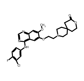 COc1cc2ncnc(Nc3ccc(F)c(Cl)c3)c2cc1OCCN1CCC2(CCOC(=O)C2)CC1